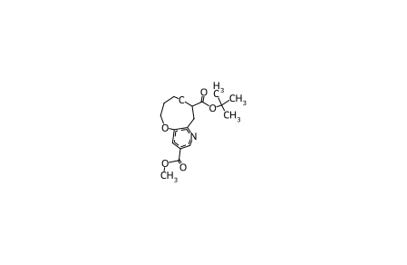 COC(=O)c1cnc2c(c1)OCCCCC(C(=O)OC(C)(C)C)C2